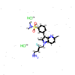 Cc1ccc2c(n1)c(-c1cccc(S(=O)(=O)N(C)C)c1)c(C)n2CC(F)=CCN.Cl.Cl